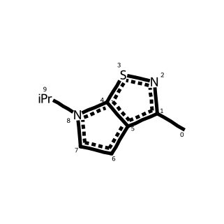 Cc1nsc2c1ccn2C(C)C